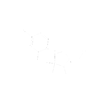 CC1(F)C(O)[C@@H](CO)O[C@H]1N1C=CC(N)=NC1O